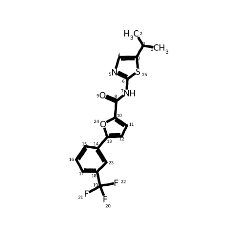 CC(C)c1cnc(NC(=O)c2ccc(-c3cccc(C(F)(F)F)c3)o2)s1